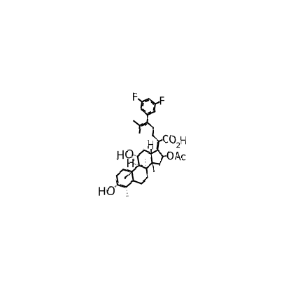 CC(=O)O[C@H]1C[C@@]2(C)[C@H](C[C@@H](O)[C@@H]3[C@@]4(C)CC[C@@H](O)[C@@H](C)C4CC[C@@]32C)C1=C(CCC(=C(C)C)c1cc(F)cc(F)c1)C(=O)O